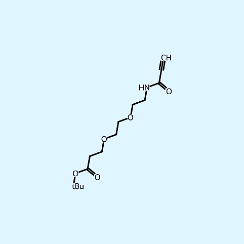 C#CC(=O)NCCOCCOCCC(=O)OC(C)(C)C